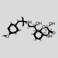 COc1ccc(CC(C)(C)NCC(O)c2cccc3c2O[C@H](O)C(=O)N3)cc1